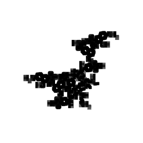 CCNCCN(NCCN)c1nc(Nc2ccc(Nc3nc(Nc4ccc(S(=O)(=O)O)c(N=Nc5ccc(N=Nc6c(S(=O)(=O)O)cc7ccc(N)cc7c6O)c6cc(S(=O)(=O)O)ccc56)c4)nc(N(CCNCC)NCCN)n3)cc2)nc(Nc2ccc(S(=O)(=O)O)c(N=Nc3ccc(N=Nc4c(S(=O)(=O)O)cc5ccc(N)cc5c4O)c4cc(S(=O)(=O)O)ccc34)c2)n1